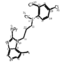 CCCc1nc2cncc(C)c2n1CCC[S+]([O-])c1ccc(Cl)cc1Cl